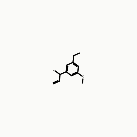 [CH2]C(C=C)c1cc(CC)cc(SC)c1